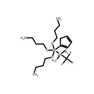 CCCC[O][Zr]([O]CCCC)([O]CCCC)([C]1=CC=CC1)[Ge]([CH3])([CH3])[C](F)(F)F